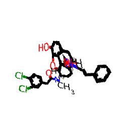 CN(C(=O)Cc1ccc(Cl)c(Cl)c1)[C@@H]1CC[C@@]2(O)[C@H]3Cc4ccc(O)c5c4[C@@]2(CCN3CCc2ccccc2)[C@H]1O5